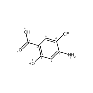 Nc1cc(O)c(C(=O)O)cc1Cl